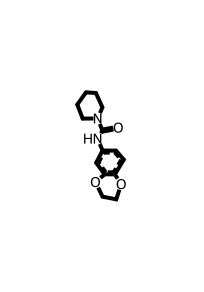 O=C(Nc1ccc2c(c1)OCCO2)N1CCCCC1